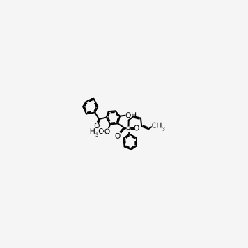 C/C=C\C=C/CP(=O)(C(=O)c1c(O)ccc(C(=O)c2ccccc2)c1OC)c1ccccc1